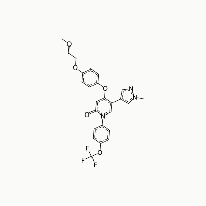 COCCOc1ccc(Oc2cc(=O)n(-c3ccc(OC(F)(F)F)cc3)cc2-c2cnn(C)c2)cc1